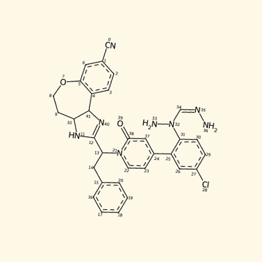 N#Cc1ccc2c(c1)OCCC1NC(C(Cc3ccccc3)n3ccc(-c4cc(Cl)ccc4N(N)/C=N\N)cc3=O)=NC21